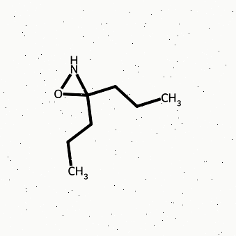 CCCC1(CCC)NO1